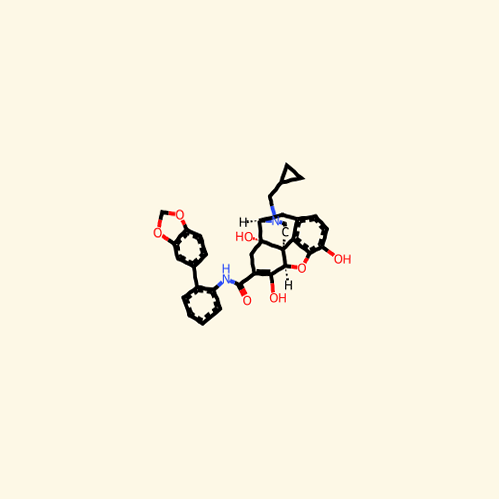 O=C(Nc1ccccc1-c1ccc2c(c1)OCO2)C1=C(O)[C@@H]2Oc3c(O)ccc4c3[C@@]23CCN(CC2CC2)[C@H](C4)[C@]3(O)C1